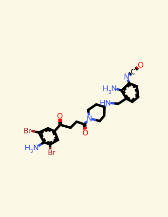 Nc1c(Br)cc(C(=O)CCC(=O)N2CCC(NCc3cccc(N=C=O)c3N)CC2)cc1Br